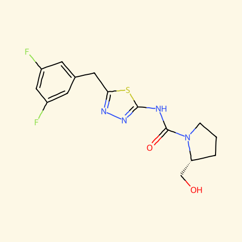 O=C(Nc1nnc(Cc2cc(F)cc(F)c2)s1)N1CCC[C@@H]1CO